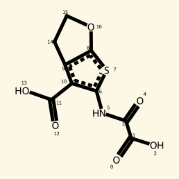 O=C(O)C(=O)Nc1sc2c(c1C(=O)O)CCO2